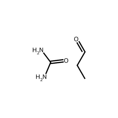 CCC=O.NC(N)=O